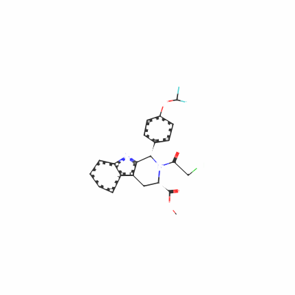 COC(=O)[C@H]1Cc2c([nH]c3ccccc23)[C@@H](c2ccc(OC(F)F)cc2)N1C(=O)CCl